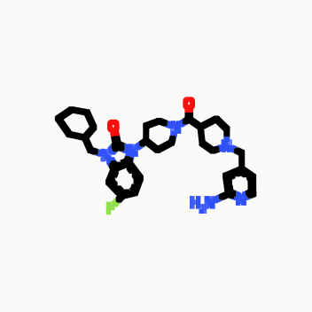 Nc1cc(CN2CCC(C(=O)N3CCC(n4c(=O)n(CC5CCCCC5)c5cc(F)ccc54)CC3)CC2)ccn1